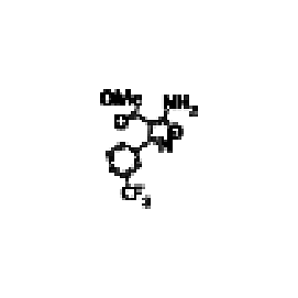 COC(=O)c1c(-c2cccc(C(F)(F)F)c2)noc1N